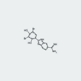 N=C(N)c1ccc2nc(-c3cc(Br)c(O)c(Br)c3O)[nH]c2c1